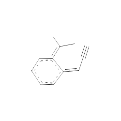 C#C/C=c1/ccccc1=C(C)C